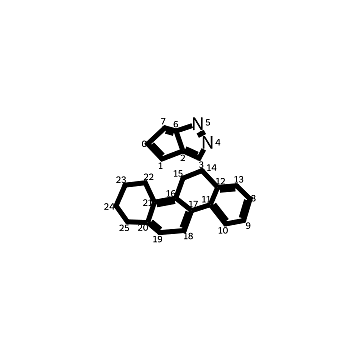 C1=CC2=CN=NC2=C1.c1ccc2c(c1)CCc1c-2ccc2c1CCCC2